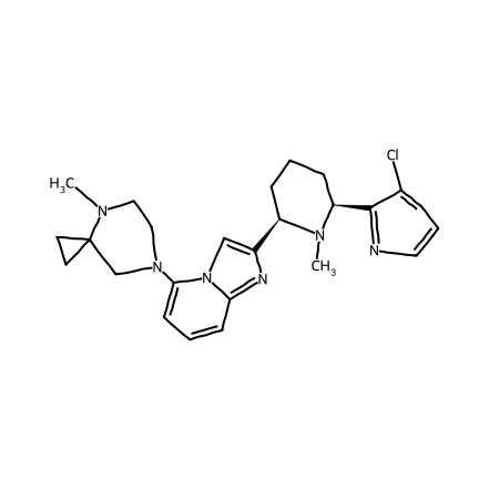 CN1[C@@H](c2cn3c(N4CCN(C)C5(CC5)C4)cccc3n2)CCC[C@H]1c1ncccc1Cl